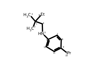 CCC(C)(C)CNc1ccc(C(C)C)cc1